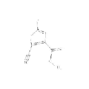 COC(=O)c1cc(O)sc1C#N